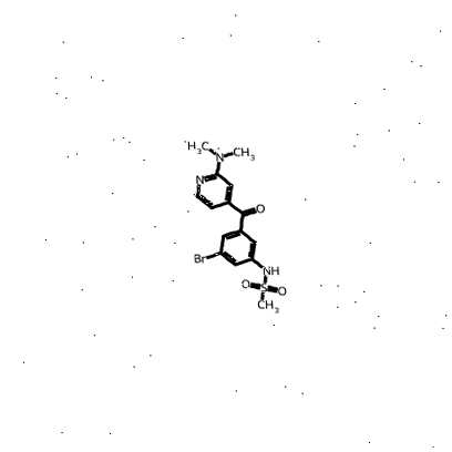 CN(C)c1cc(C(=O)c2cc(Br)cc(NS(C)(=O)=O)c2)ccn1